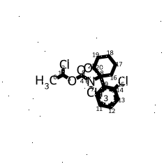 CC(Cl)OC(=O)N(C)C1(c2ccccc2Cl)CCCCC1=O